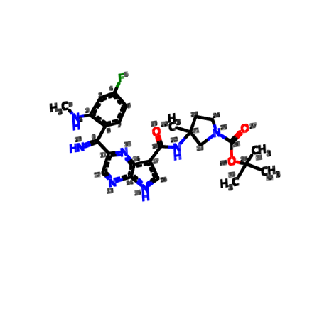 CNc1cc(F)ccc1C(=N)c1cnc2[nH]cc(C(=O)NC3(C)CCN(C(=O)OC(C)(C)C)C3)c2n1